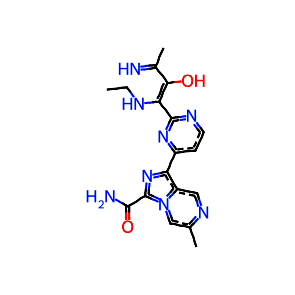 CCN/C(=C(/O)C(C)=N)c1nccc(-c2nc(C(N)=O)n3cc(C)ncc23)n1